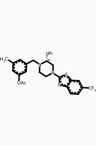 CCC[C@@H]1CN(c2nc3ccc(C(F)(F)F)cc3s2)CCN1Cc1cc(C)cc(OC(C)=O)c1